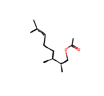 CC(=O)OC[C@@H](C)[C@@H](C)CCC=C(C)C